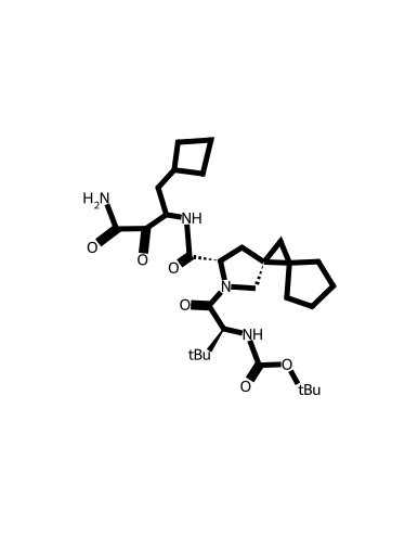 CC(C)(C)OC(=O)N[C@H](C(=O)N1C[C@]2(C[C@H]1C(=O)NC(CC1CCC1)C(=O)C(N)=O)CC21CCCC1)C(C)(C)C